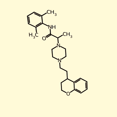 Cc1cccc(C)c1NC(=O)C(C)N1CCN(CCC2CCOc3ccccc32)CC1